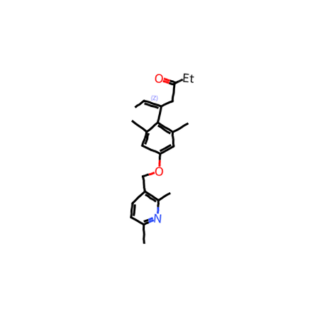 C/C=C(/CC(=O)CC)c1c(C)cc(OCc2ccc(C)nc2C)cc1C